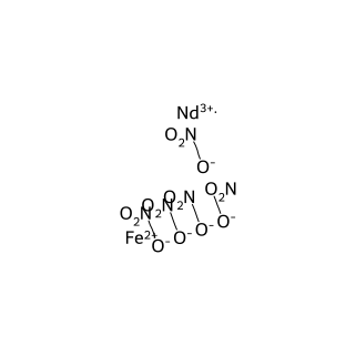 O=[N+]([O-])[O-].O=[N+]([O-])[O-].O=[N+]([O-])[O-].O=[N+]([O-])[O-].O=[N+]([O-])[O-].[Fe+2].[Nd+3]